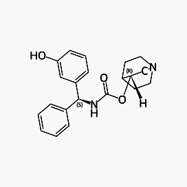 O=C(N[C@@H](c1ccccc1)c1cccc(O)c1)O[C@H]1CN2CCC1CC2